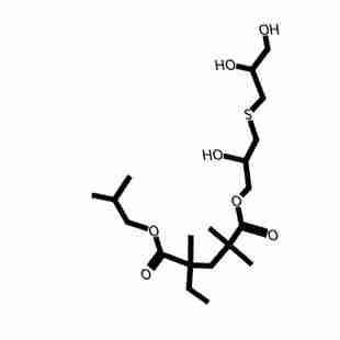 CCC(C)(CC(C)(C)C(=O)OCC(O)CSCC(O)CO)C(=O)OCC(C)C